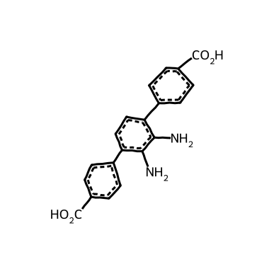 Nc1c(-c2ccc(C(=O)O)cc2)ccc(-c2ccc(C(=O)O)cc2)c1N